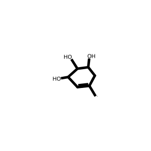 [CH2]C1=CC(O)C(O)C(O)C1